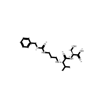 CC(C)[C@H](NCCCNC(=O)OCc1ccccc1)C(=O)N[C@@H](CS)C(=O)O